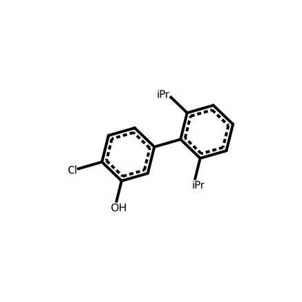 CC(C)c1cccc(C(C)C)c1-c1ccc(Cl)c(O)c1